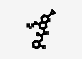 NSc1cc(NC(=O)Cc2ccccc2Cl)cc2nc(C3CC3)ccc12